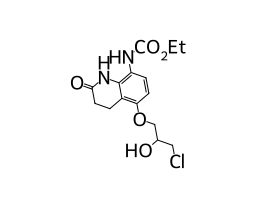 CCOC(=O)Nc1ccc(OCC(O)CCl)c2c1NC(=O)CC2